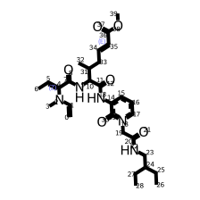 C=CN(C)/C(=C\C)C(=O)NC(C(=O)Nc1cccn(CC(=O)NCC(CC)CC)c1=O)C(C)C/C=C/C(=O)OC